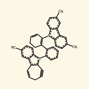 N#Cc1ccc2c(c1)c1c(n2-c2ccccc2C2=C(n3c4ccc(C#N)cc4c4cc(C#N)ccc43)C=CCC2)C#CCC=C1